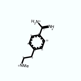 CNCCc1ccc(C(=N)N)cc1